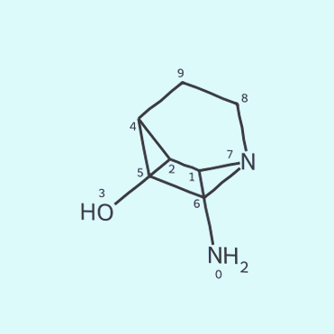 NC1C(O)C2CCN1CC2